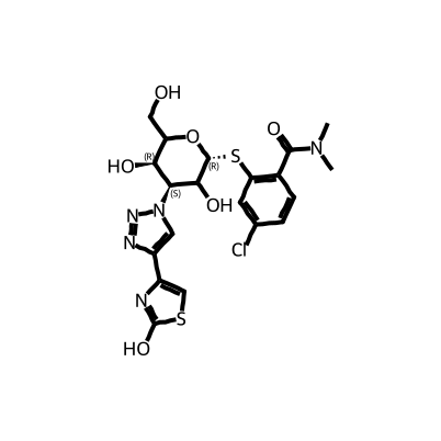 CN(C)C(=O)c1ccc(Cl)cc1S[C@H]1OC(CO)[C@H](O)[C@H](n2cc(-c3csc(O)n3)nn2)C1O